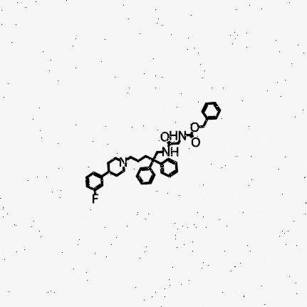 O=C(CNC(=O)OCc1ccccc1)NCC(CCCN1CCC(c2cccc(F)c2)CC1)(c1ccccc1)c1ccccc1